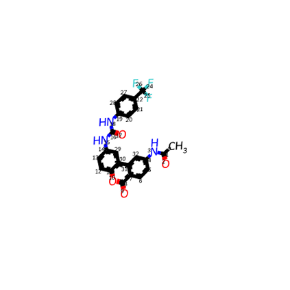 CC(=O)Nc1ccc2c(=O)oc3ccc(NC(=O)Nc4ccc(C(F)(F)F)cc4)cc3c2c1